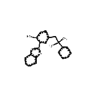 CC(C)(Cc1ccc(O)c(-n2nc3ccccc3n2)c1)c1ccccc1